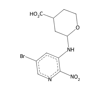 O=C(O)C1CCOC(Nc2cc(Br)cnc2[N+](=O)[O-])C1